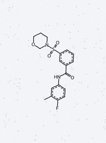 Cc1cc(NC(=O)c2cccc(S(=O)(=O)N3CCCOC3)c2)ccc1F